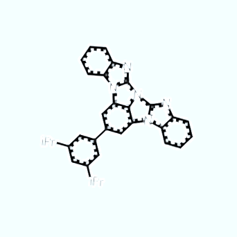 CC(C)c1cc(-c2cc3c4c(c2)n2c5ccccc5nc2n4c2nc4ccccc4n32)cc(C(C)C)c1